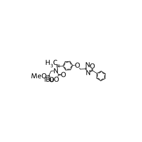 COC(=O)CN(C(=O)OCC(C)C)[C@H](C)c1ccc(OCc2noc(-c3ccccc3)n2)cc1